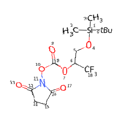 CC(C)(C)[Si](C)(C)OCC(OC(=O)ON1C(=O)CCC1=O)C(F)(F)F